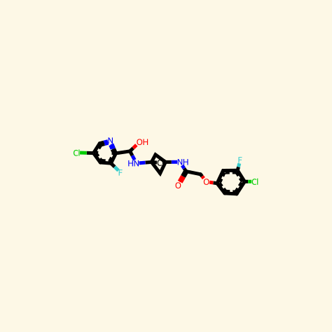 O=C(COc1ccc(Cl)c(F)c1)NC12CC(NC(O)c3ncc(Cl)cc3F)(C1)C2